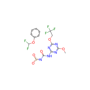 COc1nc(NC(=O)N=S(=O)=O)nc(OCC(F)(F)F)n1.FC(F)Oc1ccccc1